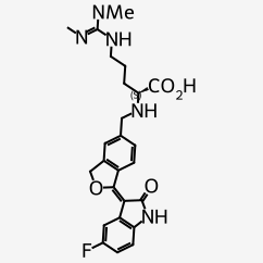 CN=C(NC)NCCC[C@H](NCc1ccc2c(c1)COC2=C1C(=O)Nc2ccc(F)cc21)C(=O)O